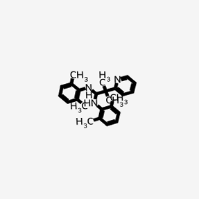 Cc1cccc(C)c1NC(Nc1c(C)cccc1C)C(C)(C)c1ccccn1